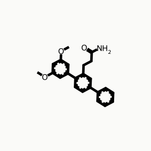 COc1cc(OC)cc(-c2ccc(-c3ccccc3)cc2CCC(N)=O)c1